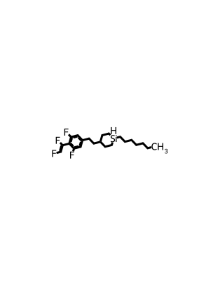 CCCCCCC[SiH]1CCC(CCc2cc(F)c(/C(F)=C/F)c(F)c2)CC1